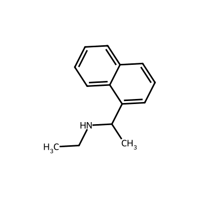 CCNC(C)c1cccc2ccccc12